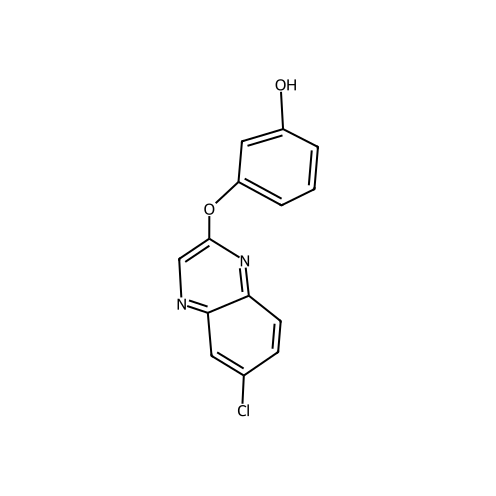 Oc1cccc(Oc2cnc3cc(Cl)ccc3n2)c1